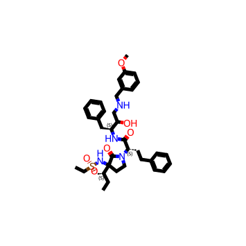 CC[C@H](C)C1(NS(=O)(=O)CC)CCN([C@@H](CCc2ccccc2)C(=O)N[C@@H](Cc2ccccc2)C(O)CNCc2cccc(OC)c2)C1=O